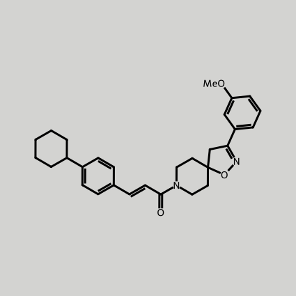 COc1cccc(C2=NOC3(CCN(C(=O)/C=C/c4ccc(C5CCCCC5)cc4)CC3)C2)c1